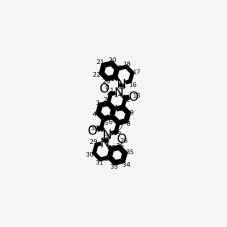 O=C1c2ccc3c4c(ccc(c24)C(=O)N1N1CCCc2ccccc21)C(=O)N(N1CCCc2ccccc21)C3=O